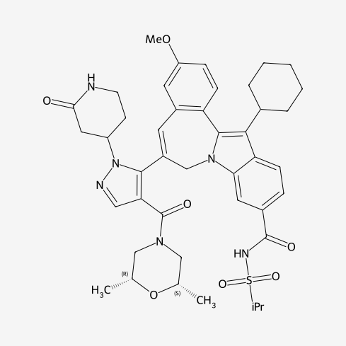 COc1ccc2c(c1)C=C(c1c(C(=O)N3C[C@@H](C)O[C@@H](C)C3)cnn1C1CCNC(=O)C1)Cn1c-2c(C2CCCCC2)c2ccc(C(=O)NS(=O)(=O)C(C)C)cc21